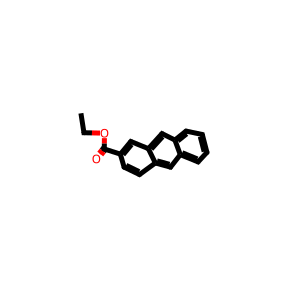 CCOC(=O)c1ccc2cc3ccccc3cc2c1